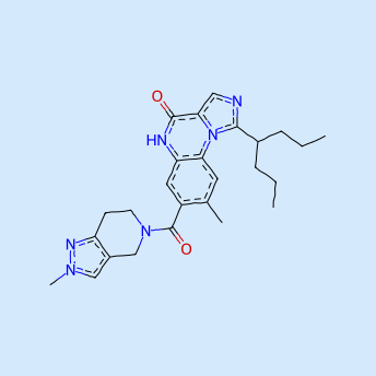 CCCC(CCC)c1ncc2c(=O)[nH]c3cc(C(=O)N4CCc5nn(C)cc5C4)c(C)cc3n12